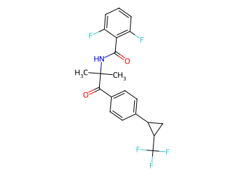 CC(C)(NC(=O)c1c(F)cccc1F)C(=O)c1ccc(C2CC2C(F)(F)F)cc1